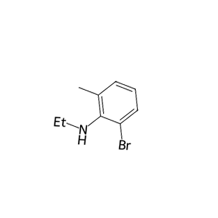 CCNc1c(C)cccc1Br